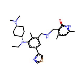 CCN(c1cc(-c2cscn2)cc(CNCc2c(C)cc(C)[nH]c2=O)c1C)[C@H]1CC[C@H](N(C)C)CC1